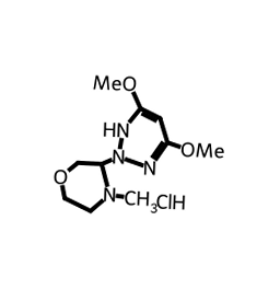 COC1=CC(OC)=NN(C2COCCN2C)N1.Cl